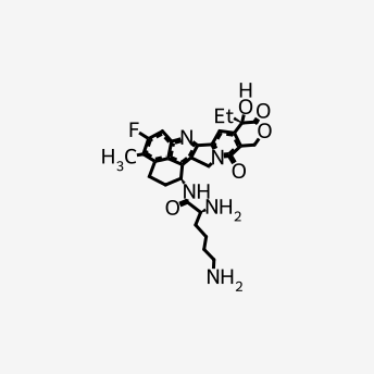 CC[C@@]1(O)C(=O)OCc2c1cc1n(c2=O)Cc2c-1nc1cc(F)c(C)c3c1c2[C@@H](NC(=O)[C@@H](N)CCCCN)CC3